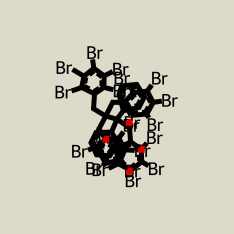 Brc1c(Br)c(Br)c(CC(Cc2c(Br)c(Br)c(Br)c(Br)c2Br)(Cc2c(Br)c(Br)c(Br)c(Br)c2Br)C(Cc2c(Br)c(Br)c(Br)c(Br)c2Br)(c2ccccc2)c2ccccc2)c(Br)c1Br